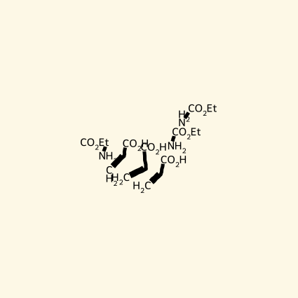 C=CC(=O)O.C=CC(=O)O.C=CC(=O)O.CCOC(N)=O.CCOC(N)=O.CCOC(N)=O